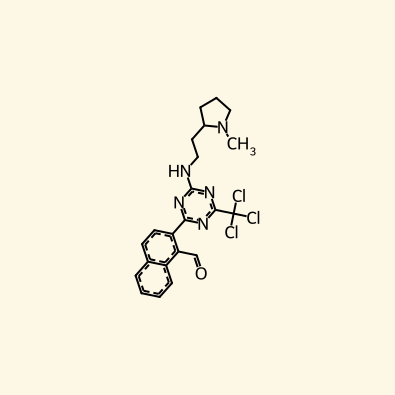 CN1CCCC1CCNc1nc(-c2ccc3ccccc3c2C=O)nc(C(Cl)(Cl)Cl)n1